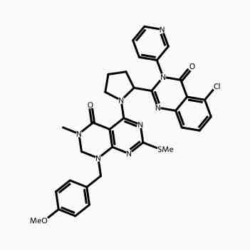 COc1ccc(CN2CN(C)C(=O)c3c2nc(SC)nc3N2CCCC2c2nc3cccc(Cl)c3c(=O)n2-c2cccnc2)cc1